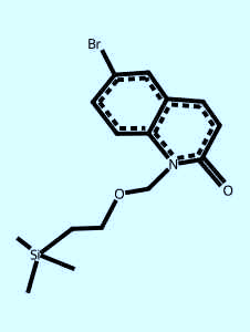 C[Si](C)(C)CCOCn1c(=O)ccc2cc(Br)ccc21